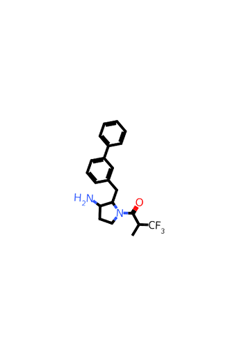 CC(C(=O)N1CCC(N)C1Cc1cccc(-c2ccccc2)c1)C(F)(F)F